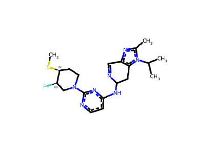 CS[C@H]1CCN(c2nccc(NC3Cc4c(nc(C)n4C(C)C)C=N3)n2)C[C@H]1F